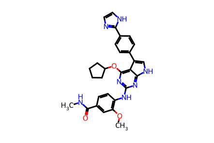 CNC(=O)c1ccc(Nc2nc(OC3CCCC3)c3c(-c4ccc(-c5ncc[nH]5)cc4)c[nH]c3n2)c(OC)c1